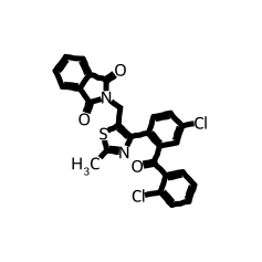 Cc1nc(-c2ccc(Cl)cc2C(=O)c2ccccc2Cl)c(CN2C(=O)c3ccccc3C2=O)s1